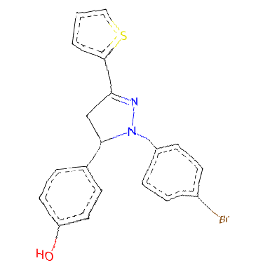 Oc1ccc(C2CC(c3cccs3)=NN2c2ccc(Br)cc2)cc1